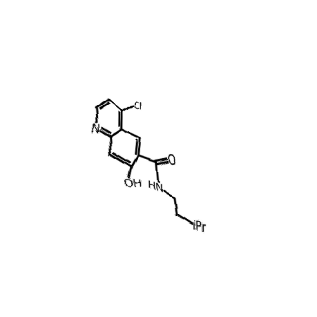 CC(C)CCNC(=O)c1cc2c(Cl)ccnc2cc1O